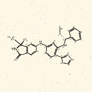 CC1(C)NC(=O)c2cnc(Nc3ncc(-c4nnco4)c(N[C@H](CO)c4ccccc4)n3)cc21